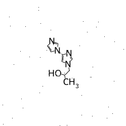 CC(O)Cn1cnc(-n2ccnc2)c1